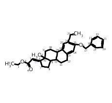 CCOC(=O)/C=C1\CCC2C3CCc4cc(OCc5ccccc5)c(CC)cc4C3CCC12C